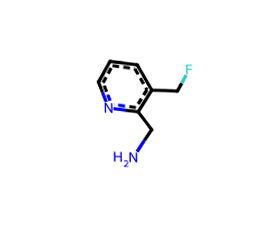 NCc1ncccc1CF